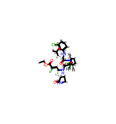 CCOC(=O)/C(F)=C/[C@@H](C[C@@H]1CCNC1=O)NC(=O)[C@@H]1[C@H]2CC[C@H](CC2(F)F)N1C(=O)[C@H](CC(C)C)Nc1cccc(Cl)c1